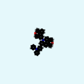 c1ccc(-n2c3ccccc3c3ccc(-c4ccc(N(c5ccc6c(c5)-c5ccccc5C65c6ccccc6Oc6ccccc65)c5cccc6c5-c5ccccc5C65c6ccccc6Oc6ccccc65)cc4)cc32)cc1